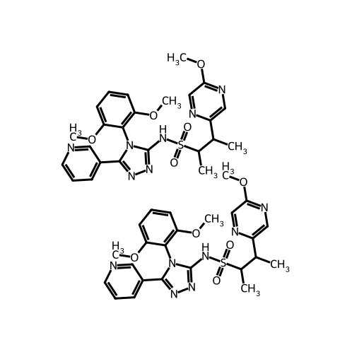 COc1cnc(C(C)C(C)S(=O)(=O)Nc2nnc(-c3cccnc3)n2-c2c(OC)cccc2OC)cn1.COc1cnc(C(C)C(C)S(=O)(=O)Nc2nnc(-c3cccnc3)n2-c2c(OC)cccc2OC)cn1